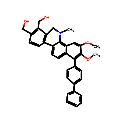 COc1cc2c3c(ccc2c(-c2ccc(-c4ccccc4)cc2)c1OC)-c1ccc(CO)c(CO)c1CN3C